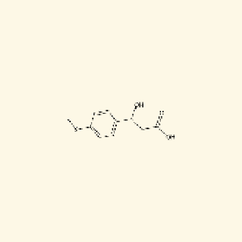 CSc1ccc(C(O)CC(=O)O)cc1